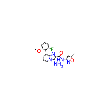 COc1cccc(F)c1-c1cccn2c(N)c(C(=O)Nc3cc(C)on3)nc12